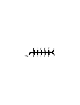 CC(C)(C)CC(F)(F)C(F)(F)C(F)(F)C(F)(F)C(F)(F)C(F)F